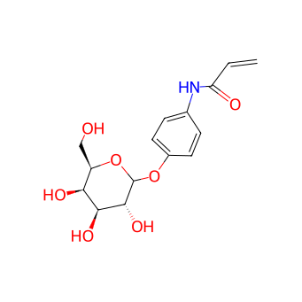 C=CC(=O)Nc1ccc(OC2O[C@H](CO)[C@H](O)[C@H](O)[C@H]2O)cc1